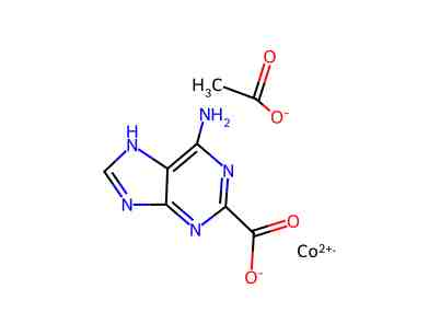 CC(=O)[O-].Nc1nc(C(=O)[O-])nc2nc[nH]c12.[Co+2]